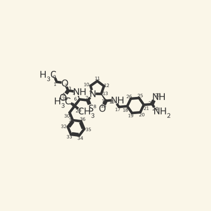 CCOC(=O)N[C@H](C(=S)N1CCC[C@H]1C(=O)NCC1CCC(C(=N)N)CC1)C(C)(C)Cc1ccccc1